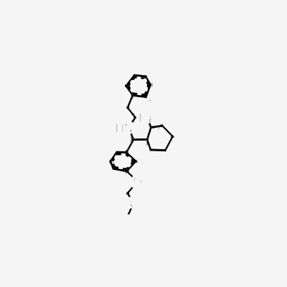 COCOc1cccc(C(NCCc2ccccc2)C2CCCCC2O)c1